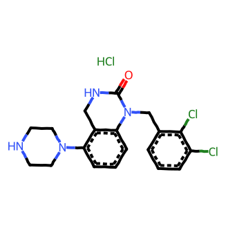 Cl.O=C1NCc2c(N3CCNCC3)cccc2N1Cc1cccc(Cl)c1Cl